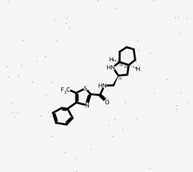 O=C(NC[C@@H]1C[C@@H]2CCCC[C@@H]2N1)c1nc(-c2ccccc2)c(C(F)(F)F)s1